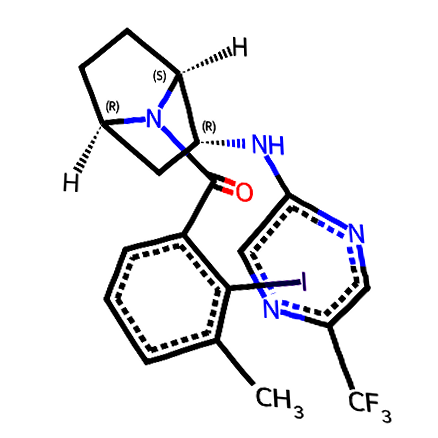 Cc1cccc(C(=O)N2[C@@H]3CC[C@H]2[C@H](Nc2cnc(C(F)(F)F)cn2)C3)c1I